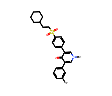 CCCc1cccc(-c2cn(CC)cc(-c3ccc(S(=O)(=O)CCC4CCCCC4)cc3)c2=O)c1